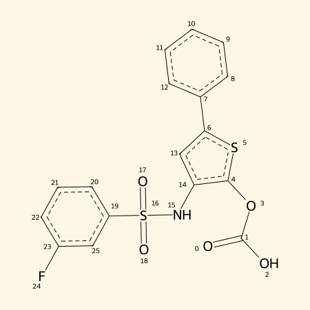 O=C(O)Oc1sc(-c2ccccc2)cc1NS(=O)(=O)c1cccc(F)c1